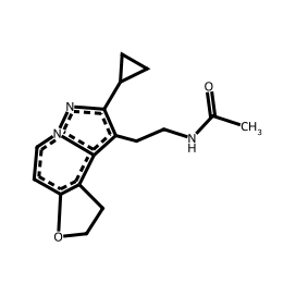 CC(=O)NCCc1c(C2CC2)nn2ccc3c(c12)CCO3